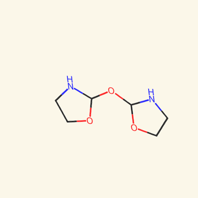 C1COC(OC2NCCO2)N1